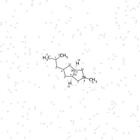 CC(C)CC1C[C@@H]2CN(C)C[C@@H]2C1